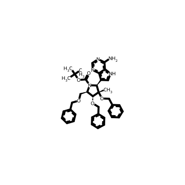 CC(C)(C)OC(=O)N1[C@H](COCc2ccccc2)[C@@H](OCc2ccccc2)[C@@](C)(OCc2ccccc2)[C@@H]1c1c[nH]c2c(N)ncnc12